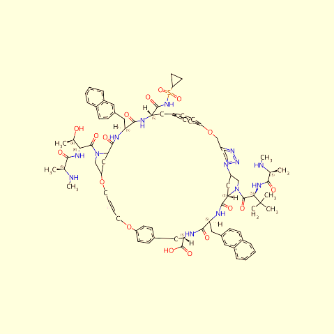 CN[C@@H](C)C(=O)N[C@H](C(=O)N1CC2C[C@H]1C(=O)N[C@@H](Cc1ccc3ccccc3c1)C(=O)N[C@H](C(=O)O)Cc1ccc(cc1)OC/C=C/COC1CC(C(=O)N[C@@H](Cc3ccc4ccccc4c3)C(=O)N[C@H](C(=O)NS(=O)(=O)C3CC3)Cc3ccc(cc3)OCc3cn2nn3)N(C(=O)[C@H](NC(=O)[C@H](C)NC)[C@@H](C)O)C1)C(C)(C)C